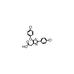 O=C(O)Cc1nc(-c2ccc(Cl)cc2)sc1Oc1ccc(Cl)cc1